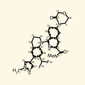 CNC(=O)c1cc2cc(N3CCOCC3=O)ccc2c(N2CCCc3cc(-c4cnn(C)c4)c(C(F)F)cc32)n1